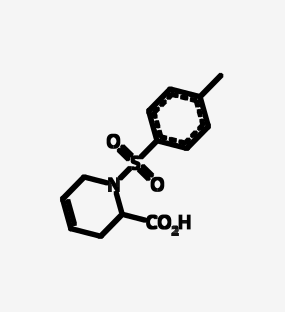 Cc1ccc(S(=O)(=O)N2CC=CCC2C(=O)O)cc1